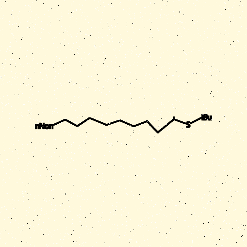 [CH2]CCCCCCCCCCCCCCCC[CH]SC(C)CC